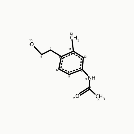 CC(=O)Nc1ccc(CC[O])c(C)c1